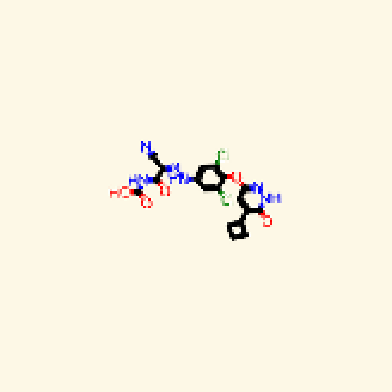 N#CC(=NNc1cc(Cl)c(Oc2cc(C3CCC3)c(=O)[nH]n2)c(Cl)c1)C(=O)NC(=O)O